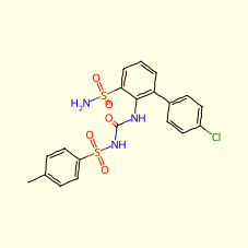 Cc1ccc(S(=O)(=O)NC(=O)Nc2c(-c3ccc(Cl)cc3)cccc2S(N)(=O)=O)cc1